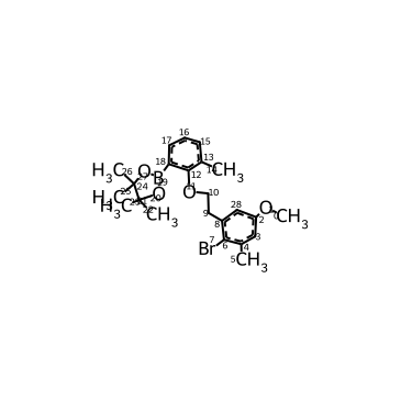 COc1cc(C)c(Br)c(CCOc2c(C)cccc2B2OC(C)(C)C(C)(C)O2)c1